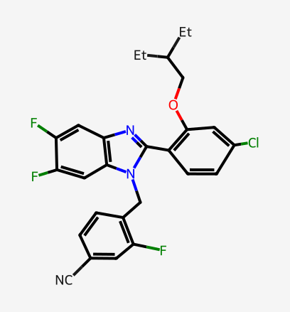 CCC(CC)COc1cc(Cl)ccc1-c1nc2cc(F)c(F)cc2n1Cc1ccc(C#N)cc1F